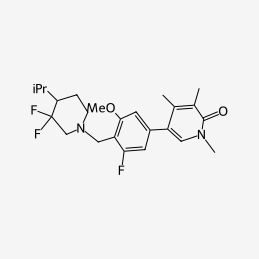 COc1cc(-c2cn(C)c(=O)c(C)c2C)cc(F)c1CN1CCC(C(C)C)C(F)(F)C1